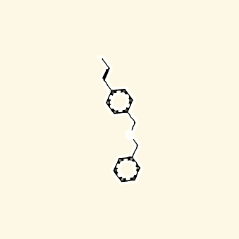 [CH2]C=Cc1ccc(COCc2ccccc2)cc1